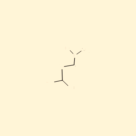 CC(C)OCP(N)O